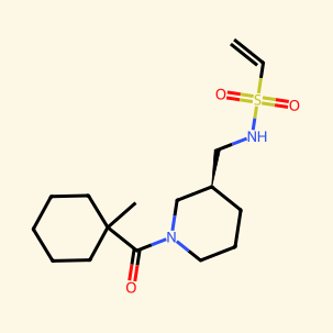 C=CS(=O)(=O)NC[C@H]1CCCN(C(=O)C2(C)CCCCC2)C1